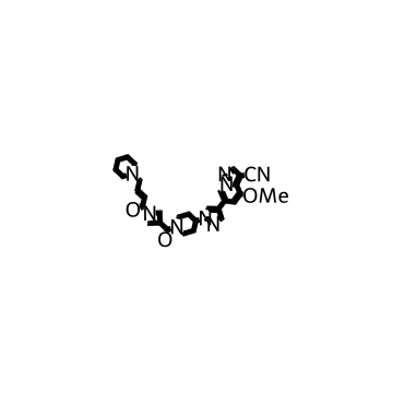 COc1cc(-c2cnn(C3CCN(C(=O)C4CN(C(=O)/C=C/CN5CCCCC5)C4)CC3)c2)cn2ncc(C#N)c12